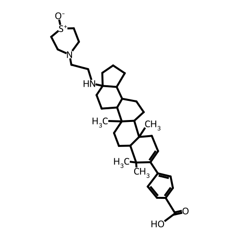 CC1(C)C(c2ccc(C(=O)O)cc2)=CCC2(C)C1CCC1(C)C3CCC4(NCCN5CC[S+]([O-])CC5)CCCC4C3CCC12